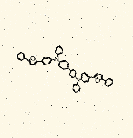 C1=C(c2ccc(N(c3ccccc3)c3ccc(-c4ccc(-c5ccccc5)o4)cc3)cc2)CCC(N(c2ccccc2)c2ccc(-c3ccc(-c4ccccc4)o3)cc2)=C1